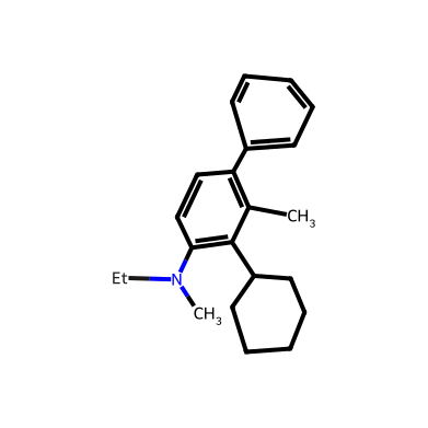 CCN(C)c1ccc(-c2ccccc2)c(C)c1C1CCCCC1